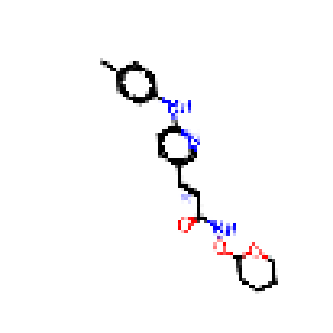 Cc1ccc(Nc2ccc(/C=C/C(=O)NOC3CCCCO3)cn2)cc1